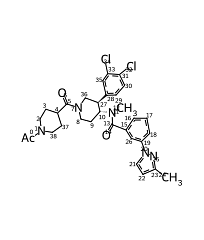 CC(=O)N1CCC(C(=O)N2CC[C@@H](N(C)C(=O)c3cccc(-n4ccc(C)n4)c3)[C@H](c3ccc(Cl)c(Cl)c3)C2)CC1